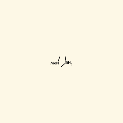 CNC.C[SiH2]C